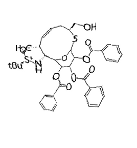 C[C@@H]1/C=C\C[C@@H](CO)SC2OC(C(OC(=O)c3ccccc3)C(OC(=O)c3ccccc3)C2OC(=O)c2ccccc2)[C@@H]1N[S@+]([O-])C(C)(C)C